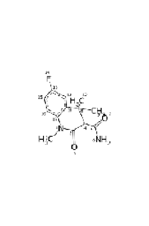 CN1C(=O)C(C(N)=O)C(C)(C)c2cc(F)ccc21